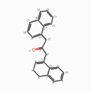 O=C(CC1=CCCc2ccccc21)Cc1cccc2ccccc12